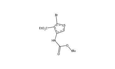 CCOC(=O)c1c(NC(=O)OC(C)(C)C)csc1Br